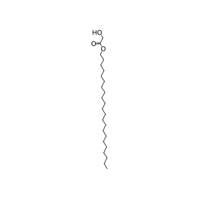 CCCCCCCCCCCCCCCCCCCCCCOC(=O)CO